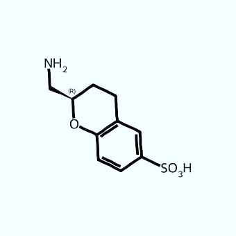 NC[C@H]1CCc2cc(S(=O)(=O)O)ccc2O1